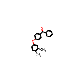 Cc1ccc(Oc2ccc(C(=O)c3ccccc3)cc2)cc1C